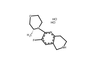 C[C@@H]1COCCN1c1nc2c(cc1F)CNCC2.Cl.Cl